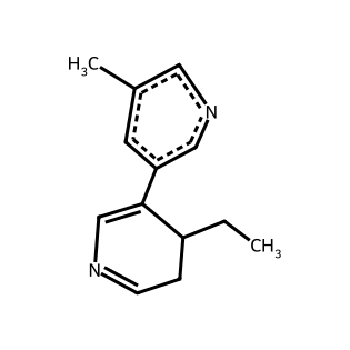 CCC1CC=NC=C1c1cncc(C)c1